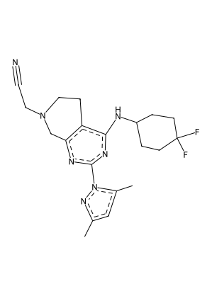 Cc1cc(C)n(-c2nc3c(c(NC4CCC(F)(F)CC4)n2)CCN(CC#N)C3)n1